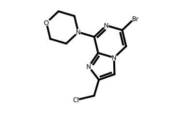 ClCc1cn2cc(Br)nc(N3CCOCC3)c2n1